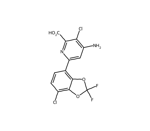 Nc1cc(-c2ccc(Cl)c3c2OC(F)(F)O3)nc(C(=O)O)c1Cl